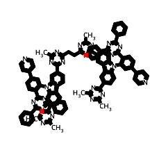 Cc1nc(C)nc(-c2ccc3c(c2)c2cc(-c4nc(C)nc(CCc5nc(C)nc(-c6ccc7c8ccc(-c9nc(C)nc(C)n9)cc8n(-c8cc(-c9ccncc9)ccc8-c8nc(-c9ccccc9)nc(-c9ccccc9)n8)c7c6)n5)n4)ccc2n3-c2cc(-c3ccncc3)ccc2-c2nc(-c3ccccc3)nc(-c3ccccc3)n2)n1